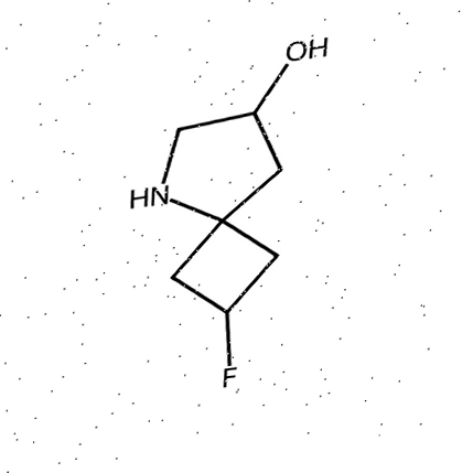 OC1CNC2(C1)CC(F)C2